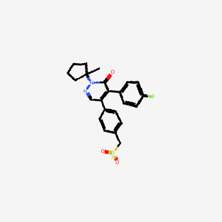 CC1(n2ncc(-c3ccc(C[SH](=O)=O)cc3)c(-c3ccc(F)cc3)c2=O)CCCC1